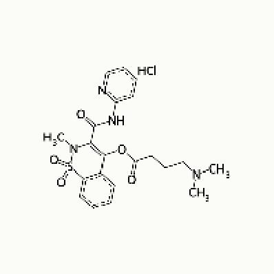 CN(C)CCCC(=O)OC1=C(C(=O)Nc2ccccn2)N(C)S(=O)(=O)c2ccccc21.Cl